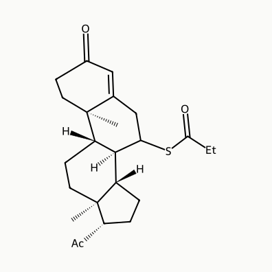 CCC(=O)SC1CC2=CC(=O)CC[C@]2(C)[C@H]2CC[C@]3(C)[C@@H](C(C)=O)CC[C@H]3[C@H]12